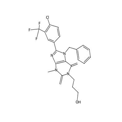 C=C1c2c(nc(-c3ccc(Cl)c(C(F)(F)F)c3)n2Cc2ccccc2)N(C)C(=C)N1CCCO